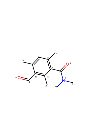 Cc1cc(C)c(C(=O)N(C)C)c(C)c1C=O